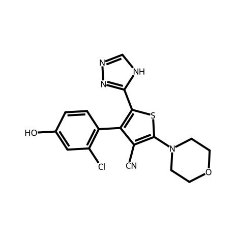 N#Cc1c(N2CCOCC2)sc(-c2nnc[nH]2)c1-c1ccc(O)cc1Cl